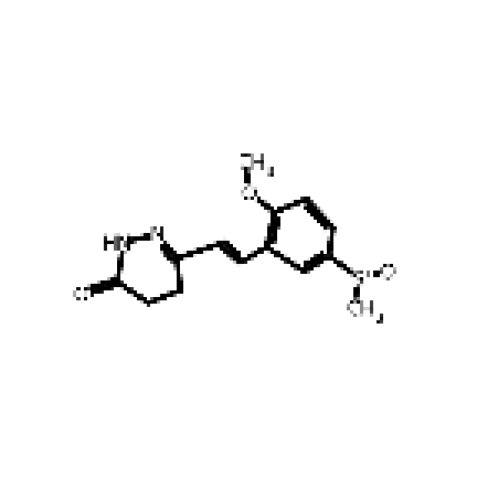 COc1ccc([S+](C)[O-])cc1C=CC1=NNC(=O)CC1